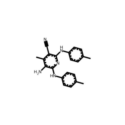 Cc1ccc(Nc2nc(Nc3ccc(C)cc3)c(C#N)c(C)c2N)cc1